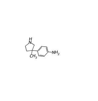 CC1(c2ccc(N)cc2)CCNC1